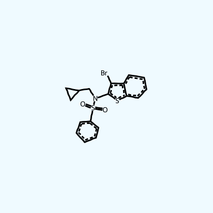 O=S(=O)(c1ccccc1)N(CC1CC1)c1sc2ccccc2c1Br